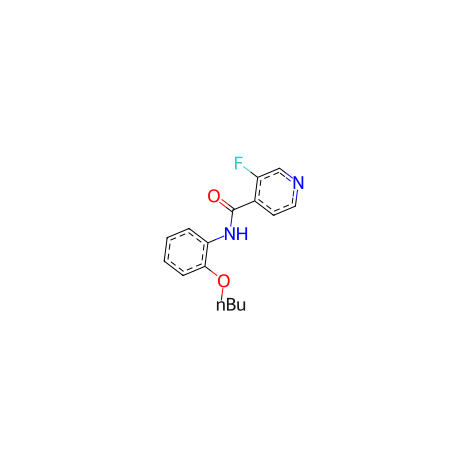 CCCCOc1ccccc1NC(=O)c1ccncc1F